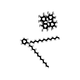 CCCCCCCCCCCCCCN(CCCCCCCCCCCCCC)c1ccccc1.Fc1c(F)c(F)c([B-](c2c(F)c(F)c(F)c(F)c2F)(c2c(F)c(F)c(F)c(F)c2F)c2c(F)c(F)c(F)c(F)c2F)c(F)c1F